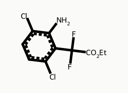 CCOC(=O)C(F)(F)c1c(Cl)ccc(Cl)c1N